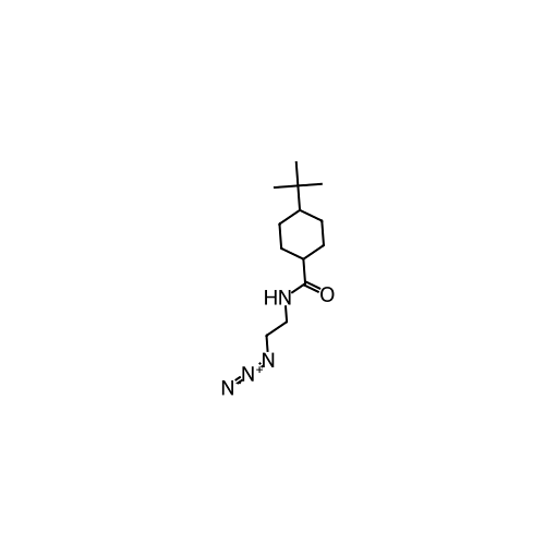 CC(C)(C)C1CCC(C(=O)NCCN=[N+]=[N-])CC1